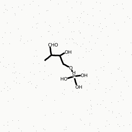 CC(C=O)C(O)CO[PH](O)(O)O